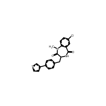 CN1C(=O)C(Cc2ccc(-c3ccsc3)cc2)NC(=O)c2cc(Cl)ccc21